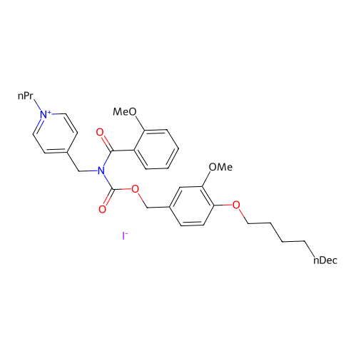 CCCCCCCCCCCCCCOc1ccc(COC(=O)N(Cc2cc[n+](CCC)cc2)C(=O)c2ccccc2OC)cc1OC.[I-]